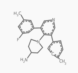 Cc1ccc(-c2cncc(-c3cc(C)cc(F)c3)c2N2CCC(N)CC2)cc1